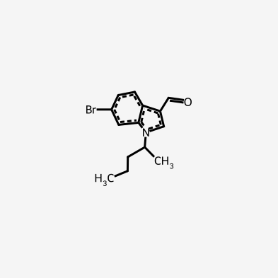 CCCC(C)n1cc(C=O)c2ccc(Br)cc21